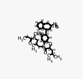 C=CC(=O)N(C)CC(C)CN1C(=O)C(CC(C)C)Oc2cc(-c3cc(N=O)cc4ccccc34)c(Cl)cc21